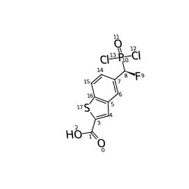 O=C(O)c1cc2cc([C@H](F)P(=O)(Cl)Cl)ccc2s1